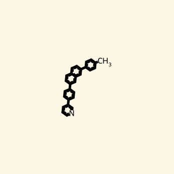 Cc1ccc(-c2ccc3ccc(-c4ccc(-c5cccnc5)cc4)cc3c2)cc1